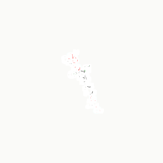 COC[C@H](C)COc1ccc(C(C)(C)c2cc(Cl)c(OC[C@H](CCl)OC(C)=O)c(Cl)c2)cc1